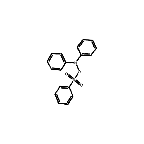 O=S(=O)(ON(c1ccccc1)c1ccccc1)c1ccccc1